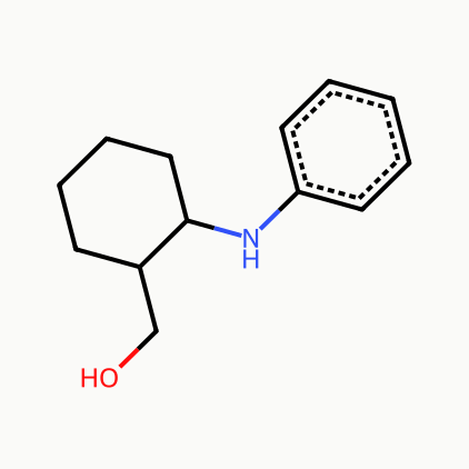 OCC1CCCCC1Nc1ccccc1